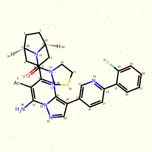 CC(=O)c1c(C2C[C@H]3CC[C@@H](C2)N3C(=O)N2CCSC2)nc2c(-c3ccc(-c4ccccc4F)nc3)cnn2c1N